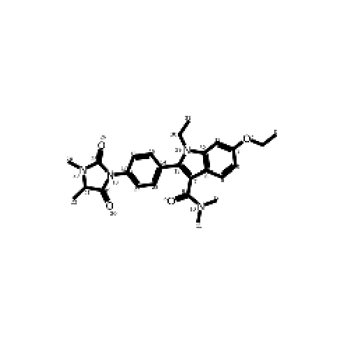 CCOc1ccc2c(C(=O)N(C)C)c(-c3ccc(N4C(=O)C(C)N(C)C4=O)cc3)n(CC)c2c1